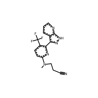 CN(CCC#N)c1ccc(C(F)(F)F)c(-c2n[nH]c3ncccc23)n1